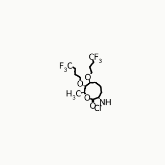 C[C@@H]1OC(=O)[C@@H](NCl)CCC[C@H](OCCCC(F)(F)F)[C@H]1OCCCC(F)(F)F